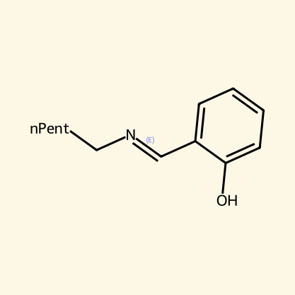 CCCCCC/N=C/c1ccccc1O